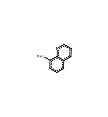 COc1cc[c]c2cccnc12